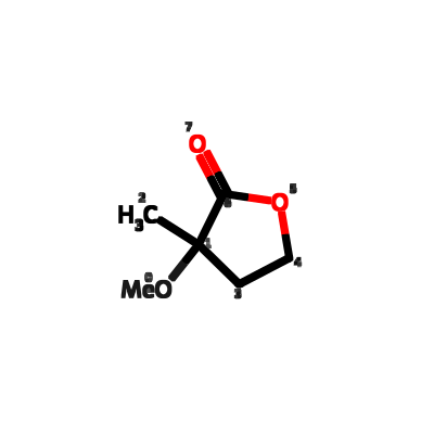 COC1(C)CCOC1=O